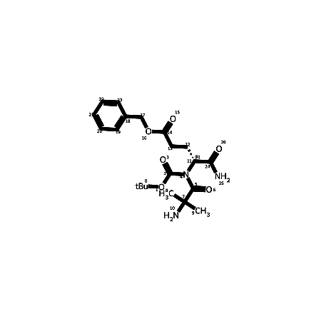 CC(C)(C)OC(=O)N(C(=O)C(C)(C)N)[C@H](CCC(=O)OCc1ccccc1)C(N)=O